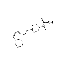 CN(C(=O)O)C1CCN(CCc2cccc3ccccc23)CC1